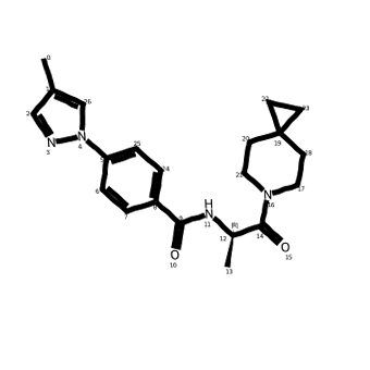 Cc1cnn(-c2ccc(C(=O)N[C@H](C)C(=O)N3CCC4(CC3)CC4)cc2)c1